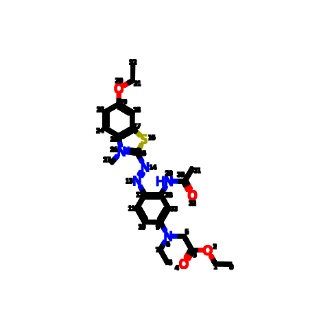 CCOC(=O)CN(CC)c1ccc(N=Nc2sc3cc(OCC)ccc3[n+]2C)c(NC(C)=O)c1